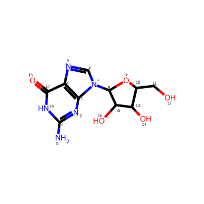 Nc1nc2c(ncn2C2OC(CO)C(O)C2O)c(=O)[nH]1